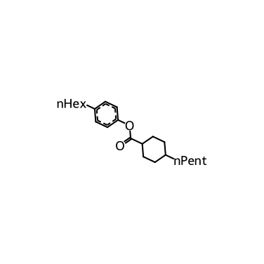 CCCCCCc1ccc(OC(=O)C2CCC(CCCCC)CC2)cc1